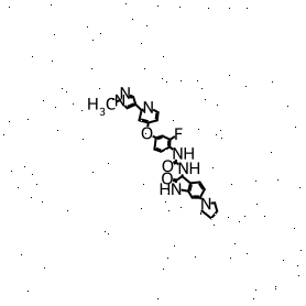 Cn1cc(-c2cc(Oc3ccc(NC(=O)NC4C(=O)Nc5cc(N6CCCC6)ccc54)c(F)c3)ccn2)cn1